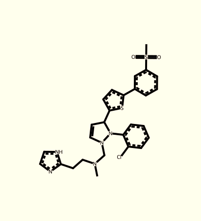 CN(CCc1ncc[nH]1)CN1C=CC(c2ccc(-c3cccc(S(C)(=O)=O)c3)s2)N1c1ccccc1Cl